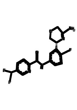 NC1=N[C@H](c2cc(NC(=O)c3ccc(C(F)F)cn3)ccc2F)COC1